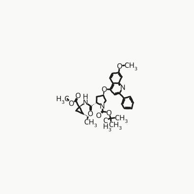 CC[C@@H]1C[C@]1(NC(=O)[C@@H]1C[C@@H](Oc2cc(-c3ccccc3)nc3cc(OC)ccc23)CN1C(=O)OC(C)(C)C)C(=O)OC